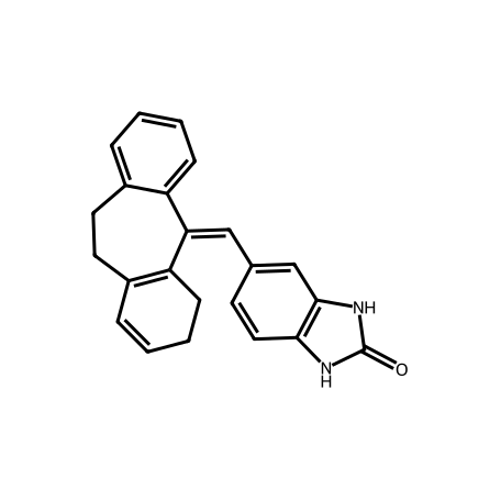 O=c1[nH]c2ccc(/C=C3\C4=C(C=CCC4)CCc4ccccc43)cc2[nH]1